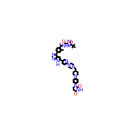 Cc1cc(-c2ncnc3[nH]c(-c4ccc(N5CCN(CC6CCN(c7ccc(N8CCC(=O)NC8=O)cc7)CC6)CC5)nc4)cc23)ccc1[C@@H](C)NC(=O)c1noc(C(C)(C)C)n1